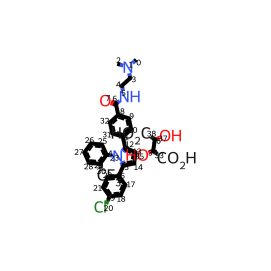 CN(C)CCNC(=O)c1ccc(-c2ccc(-c3ccc(Cl)cc3)n2-c2ccccc2C(F)(F)F)cc1.O=C(O)C(O)C(O)C(=O)O